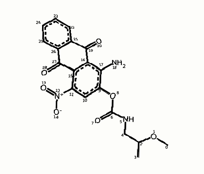 COC(C)CNC(=O)Oc1cc([N+](=O)[O-])c2c(c1N)C(=O)c1ccccc1C2=O